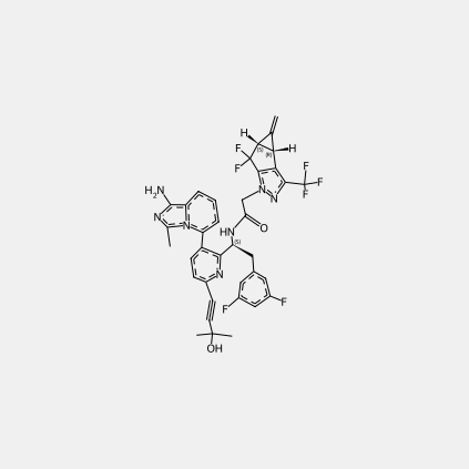 C=C1[C@@H]2c3c(C(F)(F)F)nn(CC(=O)N[C@@H](Cc4cc(F)cc(F)c4)c4nc(C#CC(C)(C)O)ccc4-c4cccc5c(N)nc(C)n45)c3C(F)(F)[C@H]12